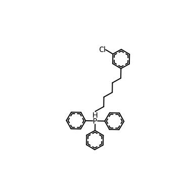 Clc1cccc(CCCCCC[PH](c2ccccc2)(c2ccccc2)c2ccccc2)c1